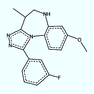 COc1ccc2c(c1)NCC(C)c1nnc(-c3cccc(F)c3)n1-2